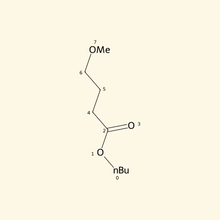 CCCCOC(=O)CCCOC